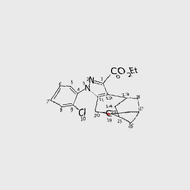 CCOC(=O)c1nn(-c2ccccc2Cl)c2c1C1CC3CC(C1)CC2C3